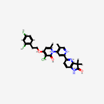 Cc1cnc(-c2ccc3c(n2)C(C)(C)C(=O)N3)cc1-n1c(C)cc(OCCc2ccc(F)cc2F)c(Cl)c1=O